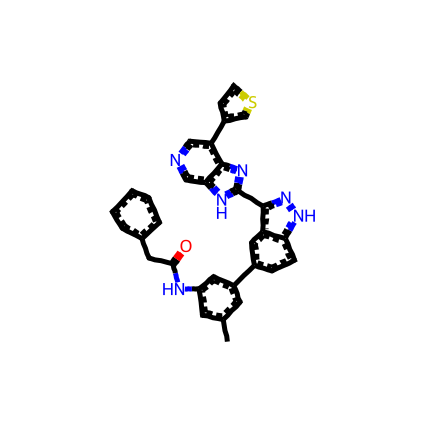 Cc1cc(NC(=O)Cc2ccccc2)cc(-c2ccc3[nH]nc(-c4nc5c(-c6ccsc6)cncc5[nH]4)c3c2)c1